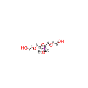 CCOCC.CI.OCCOCCOCCOCCO